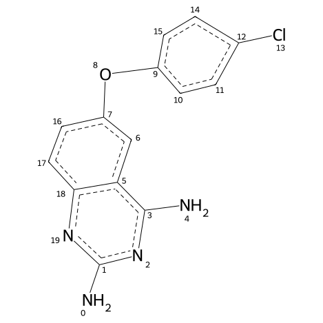 Nc1nc(N)c2cc(Oc3ccc(Cl)cc3)ccc2n1